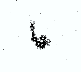 Cn1c(=O)n(C2CCOCC2)c2c3cc(-c4ccc(COCCN5CCC(C)(C)C5)nc4)ccc3nnc21